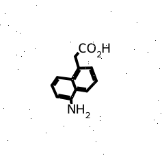 Nc1cccc2c(CC(=O)O)cccc12